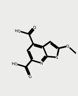 COc1cc2c(C(=O)O)cc(C(=O)O)nc2s1